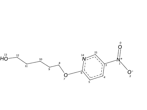 O=[N+]([O-])c1ccc(OCCCCCO)nc1